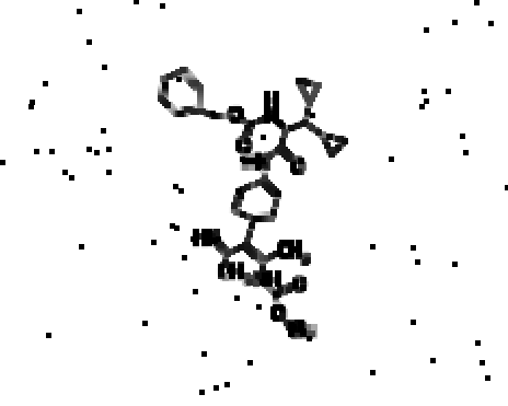 CC(=N)/C(=C(/C)NC(=O)OC(C)(C)C)c1ccc(NC(=O)[C@@H](NC(=O)OCc2ccccc2)C(C2CC2)C2CC2)cc1